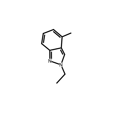 CCn1cc2c(C)cccc2n1